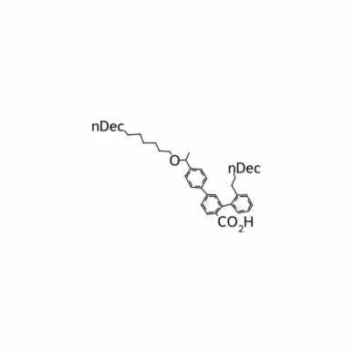 CCCCCCCCCCCCCCCCOC(C)c1ccc(-c2ccc(C(=O)O)c(-c3ccccc3CCCCCCCCCCCC)c2)cc1